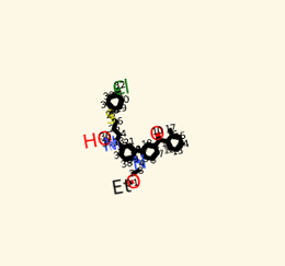 CCOCCn1c2ccc(C(=O)c3ccccc3C)cc2c2cc(/C(CCCSc3ccc(Cl)cc3)=N/O)ccc21